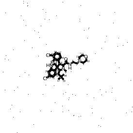 CN1C(C(=O)NCCN2CCOCC2)C(c2cccc(Cl)c2F)C2(C(=O)Nc3cc(Cl)ccc32)C1CC(C)(C)C